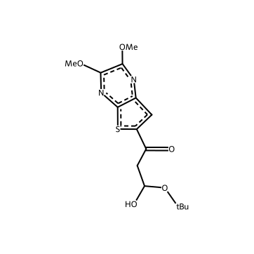 COc1nc2cc(C(=O)CC(O)OC(C)(C)C)sc2nc1OC